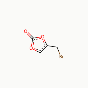 O=c1occ(CBr)o1